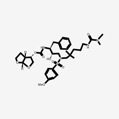 COc1ccc(S(=O)(=O)N(C[C@H](O)[C@H](Cc2ccccc2)NC(=O)O[C@@H]2CO[C@@H]3OCC[C@@H]32)CC(C)(C)CCCNC(=O)N(C)C)cc1